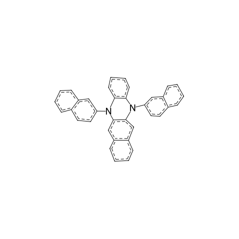 c1ccc2c(c1)N(c1ccc3ccccc3c1)c1cc3ccccc3cc1N2c1ccc2ccccc2c1